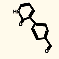 O=Cc1ccc(-c2ccc[nH]c2=O)cc1